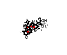 Cc1cn(C(=O)c2c(-c3c(Cl)cc(Cl)cc3Cl)noc2C2(N(C)S(=O)(=O)c3ccccc3[N+](=O)[O-])CCC2)c2cccc(/C=C(/C(=O)O)C(C)(C)C)c12